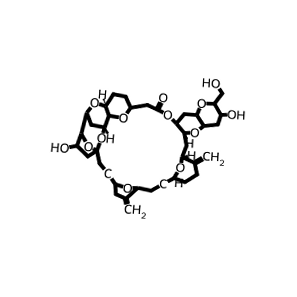 C=C1CC2CCC34CC(O)C(O3)C3C[C@@H](O4)C4OC(CC[C@@H]4O3)CC(=O)OC3CC4OC(CO)C(O)CC4O[C@H]3C[C@H]3O[C@H](CCC3=C)CCC1O2